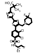 CC[C@@H](CF)NS(=O)(=O)c1ccc(-c2sc(-c3nnc(CC(C)(C)C(=O)O)o3)nc2CN2CCCC(F)(F)C2)c(Cl)c1Cl